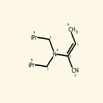 CC=C(C#N)N(CC(C)C)CC(C)C